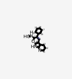 O=C(NO)/C(=C\c1c[nH]c2ncccc12)c1ccccc1